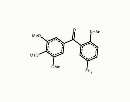 COc1cc(C(=O)c2cc(C)ccc2NC(C)=O)cc(OC)c1OC